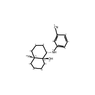 N#Cc1cccc(N[C@H]2CCC[C@H]3CCCC[C@]32O)c1